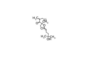 C=C(CCl)C(=O)C(C)(CC)OCCCCC(C)(C)O